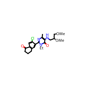 CCn1c(-c2cc3c(cc2Cl)C(=O)CCC3)nc(C)c(NCC(COC)OC)c1=O